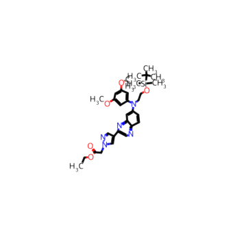 CCOC(=O)Cn1cc(-c2cnc3ccc(N(CCO[Si](C)(C)C(C)(C)C)c4cc(OC)cc(OC)c4)cc3n2)cn1